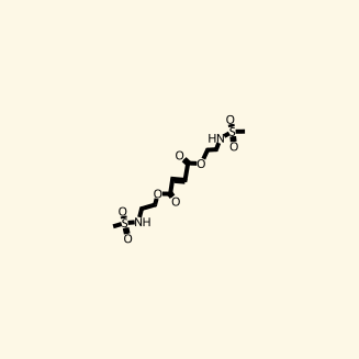 CS(=O)(=O)NCCOC(=O)/C=C/C(=O)OCCNS(C)(=O)=O